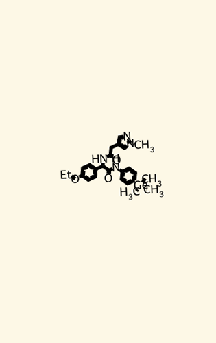 CCOc1ccc(C(NC(=O)Cc2cnn(C)c2)C(=O)Nc2cc[c]([Ge]([CH3])([CH3])[CH3])cc2)cc1